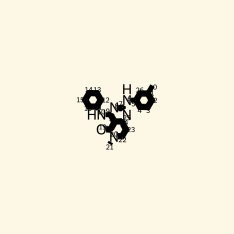 Cc1cccc(Nc2nc(Nc3ccccc3)c3c(=O)n(C)ccc3n2)c1